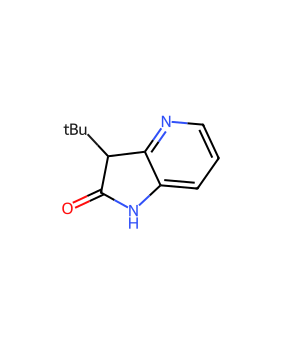 CC(C)(C)C1C(=O)Nc2cccnc21